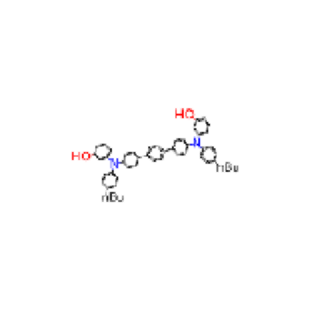 CCCCc1ccc(N(c2ccc(-c3ccc(-c4ccc(N(c5ccc(CCCC)cc5)c5cccc(O)c5)cc4)cc3)cc2)c2cccc(O)c2)cc1